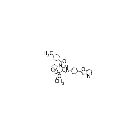 CCOC(=O)c1cn(-c2ccc(-c3cc4ncccc4o3)cc2)nc1N(C(=O)C1CCC(C)CC1)C1CCOC1